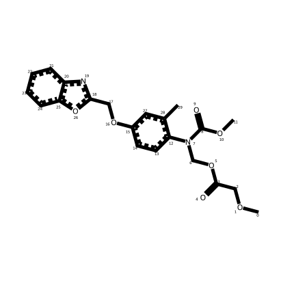 COCC(=O)OCN(C(=O)OC)c1ccc(OCc2nc3ccccc3o2)cc1C